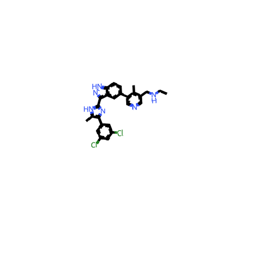 CCNCc1cncc(-c2ccc3[nH]nc(-c4nc(-c5cc(Cl)cc(Cl)c5)c(C)[nH]4)c3c2)c1C